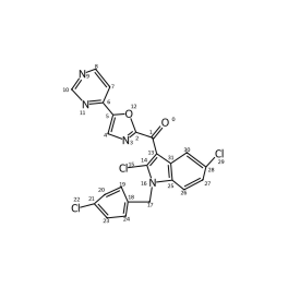 O=C(c1ncc(-c2ccncn2)o1)c1c(Cl)n(Cc2ccc(Cl)cc2)c2ccc(Cl)cc12